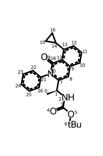 C[C@H](NC(=O)OC(C)(C)C)c1cc2cccc(C3CC3)c2c(=O)n1-c1ccccc1